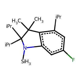 CC(C)c1cc(F)cc2c1C(C)(C)C(C(C)C)(C(C)C)N2[SiH3]